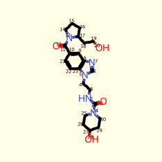 O=C(NCCn1cnc2cc(C(=O)N3CCCC3CCO)ccc21)N1CCC(O)CC1